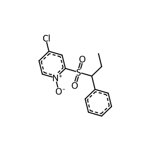 CCC(c1ccccc1)S(=O)(=O)c1cc(Cl)cc[n+]1[O-]